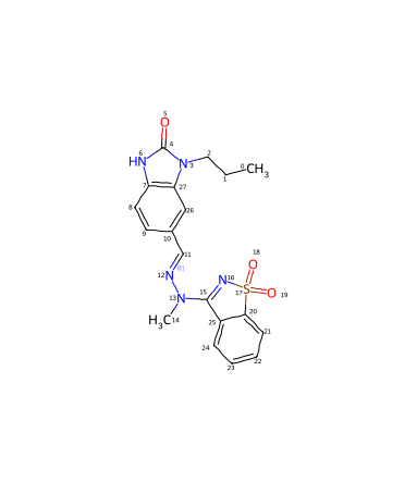 CCCn1c(=O)[nH]c2ccc(/C=N/N(C)C3=NS(=O)(=O)c4ccccc43)cc21